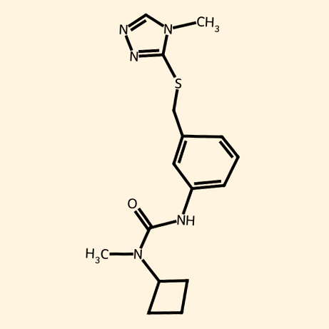 CN(C(=O)Nc1cccc(CSc2nncn2C)c1)C1CCC1